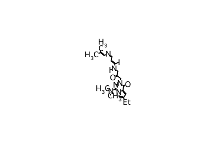 CCc1cc2c(=O)n(CC(=O)CN(I)/C(I)=C/C=N\C=C(C)C)nc(N(C)C)n2c1